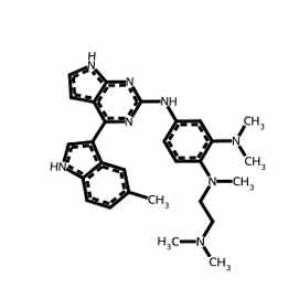 Cc1ccc2[nH]cc(-c3nc(Nc4ccc(N(C)CCN(C)C)c(N(C)C)c4)nc4[nH]ccc34)c2c1